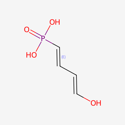 O=P(O)(O)/C=C/C=CO